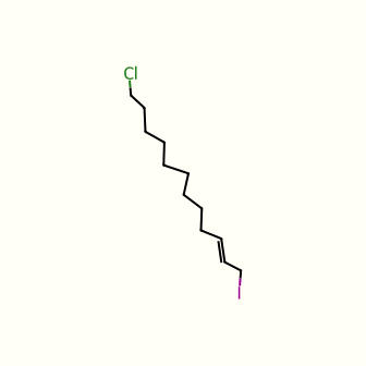 ClCCCCCCCCCC=CCI